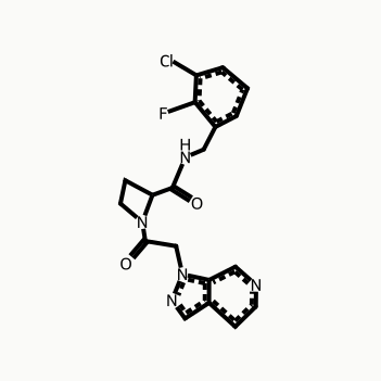 O=C(NCc1cccc(Cl)c1F)C1CCN1C(=O)Cn1ncc2ccncc21